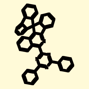 c1ccc(-c2nc(-c3ccccc3)nc(-c3nc4c(c5ccccc35)C3(c5ccccc5-c5ccccc53)c3ccccc3-4)n2)cc1